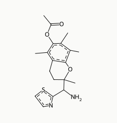 CC(=O)Oc1c(C)c(C)c2c(c1C)CCC(C)(C(N)c1nccs1)O2